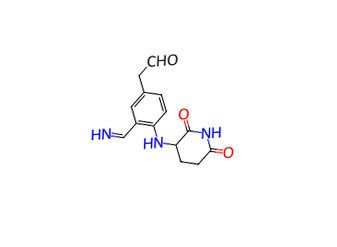 N=Cc1cc(CC=O)ccc1NC1CCC(=O)NC1=O